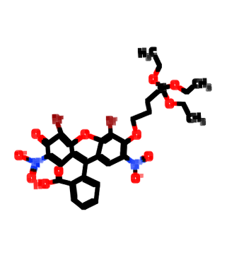 CCO[Si](CCCOc1c([N+](=O)[O-])cc2c(-c3ccccc3C(=O)O)c3cc([N+](=O)[O-])c(=O)c(Br)c-3oc2c1Br)(OCC)OCC